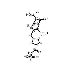 C[C@@H](O)C1C(=O)N2C(C(=O)O)=C(CN3CC[C@H](C(=O)NS(C)(=O)=O)C3)[C@H](C)C12